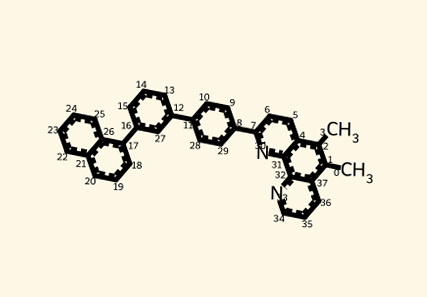 Cc1c(C)c2ccc(-c3ccc(-c4cccc(-c5cccc6ccccc56)c4)cc3)nc2c2ncccc12